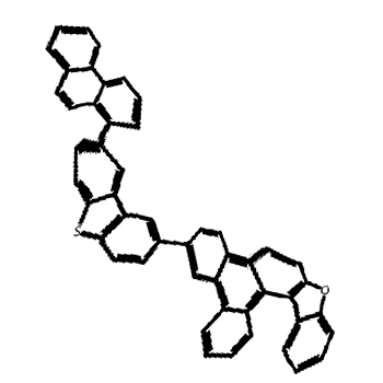 c1ccc2c(c1)ccc1c(-c3ccc4sc5ccc(-c6ccc7c(c6)c6ccccc6c6c7ccc7oc8ccccc8c76)cc5c4c3)cccc12